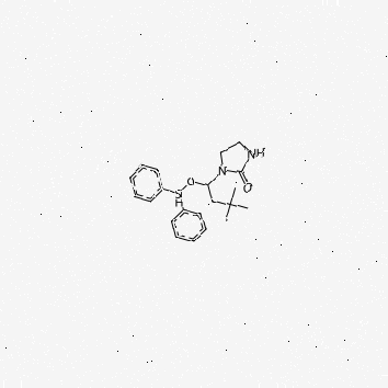 CC(C)(C)CC(O[SiH](c1ccccc1)c1ccccc1)N1CCNC1=O